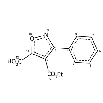 CCOC(=O)c1c(-c2ccccc2)noc1C(=O)O